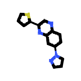 [c]1nc2ccc(-n3cccn3)cc2nc1-c1cccs1